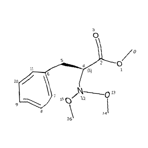 COC(=O)[C@H](Cc1ccccc1)N(OC)OC